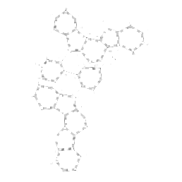 N#Cc1ccc(-n2c3ccccc3c3c4sc5ccccc5c4ccc32)c(-c2ccncc2-n2c3ccccc3c3c4sc5ccccc5c4ccc32)c1